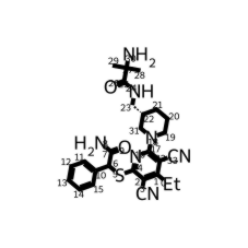 CCc1c(C#N)c(SC(C(N)=O)c2ccccc2)nc(N2CCC[C@@H](CNC(=O)C(C)(C)N)C2)c1C#N